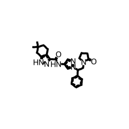 CC1(C)CCc2c(C(=O)Nc3cnn(C(CN4CCCC4=O)c4ccccc4)c3)n[nH]c2C1